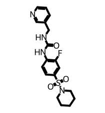 O=C(NCc1cccnc1)Nc1ccc(S(=O)(=O)N2CCCCC2)cc1F